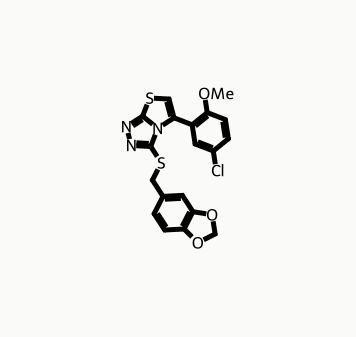 COc1ccc(Cl)cc1-c1csc2nnc(SCc3ccc4c(c3)OCO4)n12